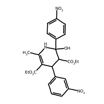 CCOC(=O)C1=C(C)NC(O)(c2ccc([N+](=O)[O-])cc2)C(C(=O)OCC)C1c1cccc([N+](=O)[O-])c1